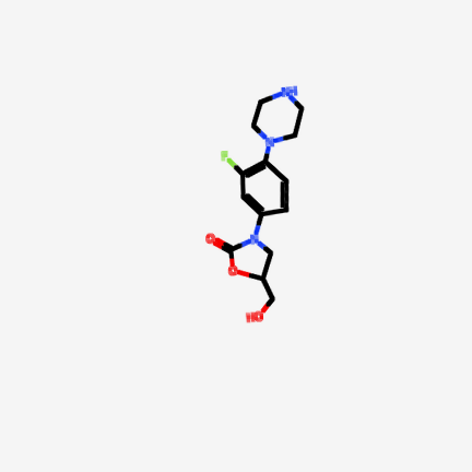 O=C1OC(CO)CN1c1ccc(N2CCNCC2)c(F)c1